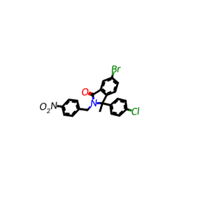 CC1(c2ccc(Cl)cc2)c2ccc(Br)cc2C(=O)N1Cc1ccc([N+](=O)[O-])cc1